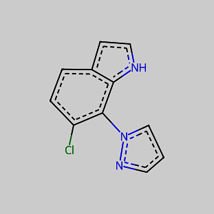 Clc1ccc2cc[nH]c2c1-n1cccn1